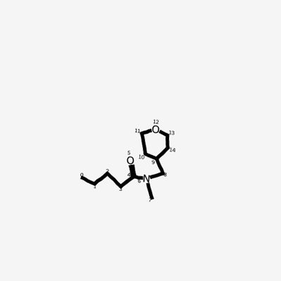 CCCCC(=O)N(C)CC1CCOCC1